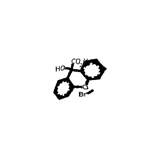 CBr.O=C(O)C1(O)c2ccccc2Oc2ccccc21